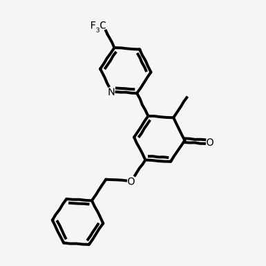 CC1C(=O)C=C(OCc2ccccc2)C=C1c1ccc(C(F)(F)F)cn1